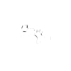 CCc1c(C)nn(Cc2ccccc2)c1C(=O)O